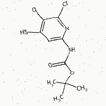 CC(C)(C)OC(=O)Nc1cc(S)c(Cl)c(Cl)n1